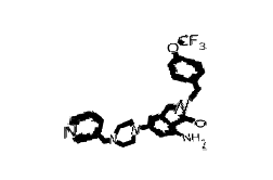 Nc1cc(N2CCN(Cc3cccnc3)CC2)cc2c1C(=O)N(Cc1ccc(OC(F)(F)F)cc1)C2